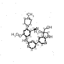 COc1cc(N2CCN(C)CC2)c(C#N)cc1Nc1nccc(-c2cnc3c(c2)C(C)(CO)CN3)n1